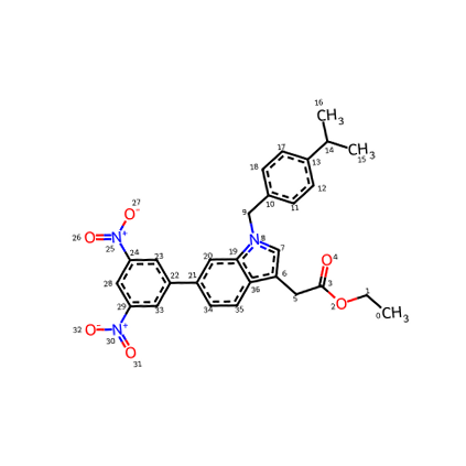 CCOC(=O)Cc1cn(Cc2ccc(C(C)C)cc2)c2cc(-c3cc([N+](=O)[O-])cc([N+](=O)[O-])c3)ccc12